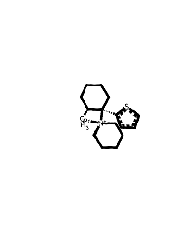 CC(C)[N+]1([C@]2(c3cccs3)CCCC[C@@H]2C)CCCCC1